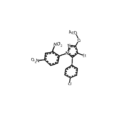 CCc1c(OOC(C)=O)nn(-c2ccc([N+](=O)[O-])cc2[N+](=O)[O-])c1-c1ccc(Cl)cc1